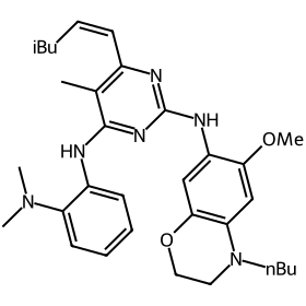 CCCCN1CCOc2cc(Nc3nc(/C=C\C(C)CC)c(C)c(Nc4ccccc4N(C)C)n3)c(OC)cc21